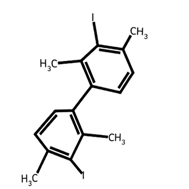 Cc1ccc(-c2ccc(C)c(I)c2C)c(C)c1I